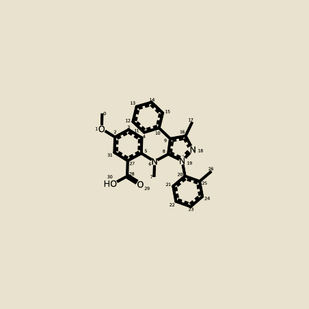 COc1ccc(N(C)c2c(-c3ccccc3)c(C)nn2-c2ccccc2C)c(C(=O)O)c1